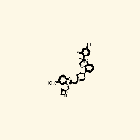 C[C@]1(c2ccc(Cl)cc2F)COc2c(cccc2C2CCN(Cc3nc4ccc(C(=O)O)cc4n3C[C@@H]3CCO3)CC2)O1